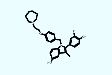 Cc1c(-c2ccc(O)c(F)c2)n(Cc2ccc(OCCN3CCCCCC3)cc2)c2ccc(O)cc12